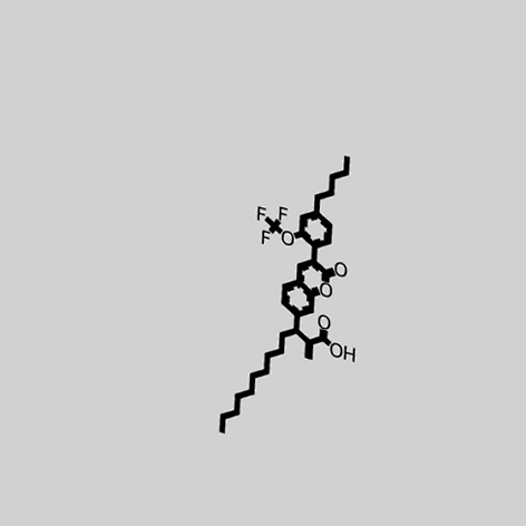 C=C(C(=O)O)C(CCCCCCCCCC)c1ccc2cc(-c3ccc(CCCCC)cc3OC(F)(F)F)c(=O)oc2c1